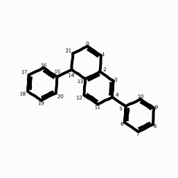 C1=Cc2cc(-c3ccccc3)ccc2C(c2ccccc2)C1